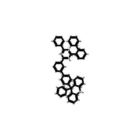 c1ccc(-c2nc(-c3cccc(-c4ccc(C5(c6ccccc6)c6ccccc6Oc6ccccc65)cc4)c3)nc(-c3ccccc3-c3ccccc3)n2)cc1